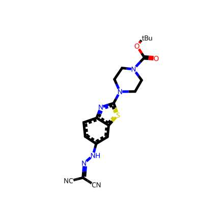 CC(C)(C)OC(=O)N1CCN(c2nc3ccc(NN=C(C#N)C#N)cc3s2)CC1